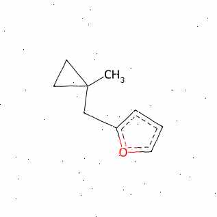 CC1(Cc2ccco2)CC1